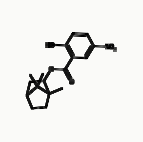 CC1(C)C2CCC1(C)C(OC(=O)c1cc([N+](=O)[O-])ccc1O)C2